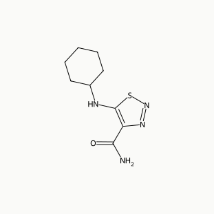 NC(=O)c1nnsc1NC1CCCCC1